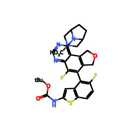 CC(C)(C)OC(=O)Nc1cc2c(-c3c4c(c5c(N6C7CCC6CN(C(=O)O)C7)ncnc5c3F)COC4)c(F)ccc2s1